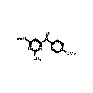 CCN(c1ccc(OC)cc1)c1cc(NC)nc(C)n1